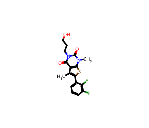 Cc1c(-c2cccc(F)c2F)sc2c1c(=O)n(CCCO)c(=O)n2C